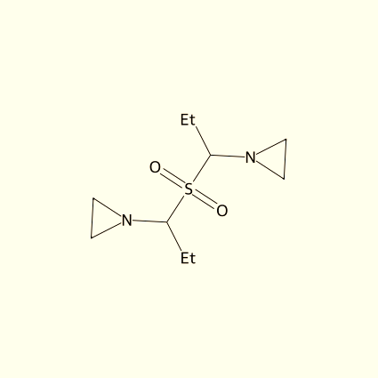 CCC(N1CC1)S(=O)(=O)C(CC)N1CC1